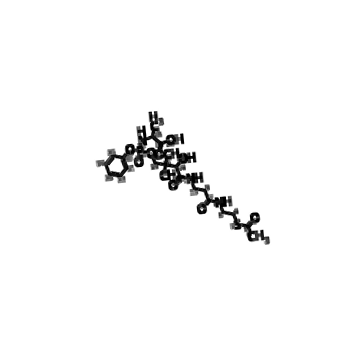 CC(=O)SCCNC(=O)CCNC(=O)C(O)C(C)(C)COP(=O)(NC(C)C(=O)O)Oc1ccccc1